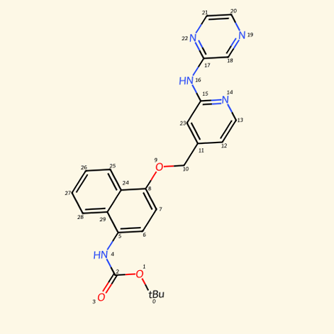 CC(C)(C)OC(=O)Nc1ccc(OCc2ccnc(Nc3cnccn3)c2)c2ccccc12